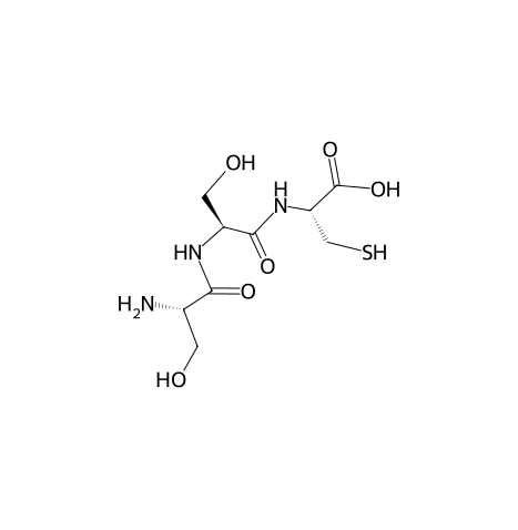 N[C@@H](CO)C(=O)N[C@@H](CO)C(=O)N[C@@H](CS)C(=O)O